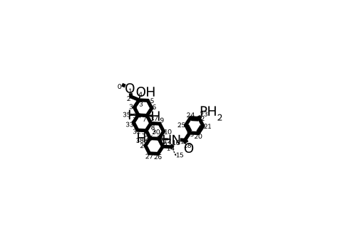 COC[C@@]1(O)CC[C@@H]2C3CC[C@]4(C)C([C@@H](C)NC(=O)c5ccc(P)cc5)CCC[C@@]4(C)[C@@H]3CC[C@]2(I)C1